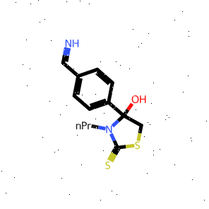 CCCN1C(=S)SCC1(O)c1ccc(C=N)cc1